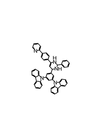 C1=C(c2ccc(-c3ccccn3)cc2)NC(c2ccccc2)NC1c1cc(-n2c3ccccc3c3ccccc32)cc(-n2c3ccccc3c3ccccc32)c1